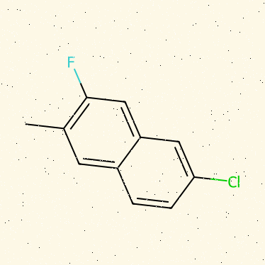 Cc1cc2ccc(Cl)cc2cc1F